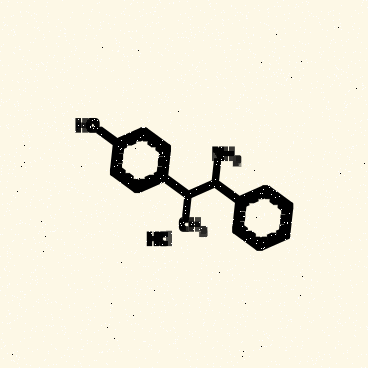 CC(c1ccc(O)cc1)C(N)c1ccccc1.Cl